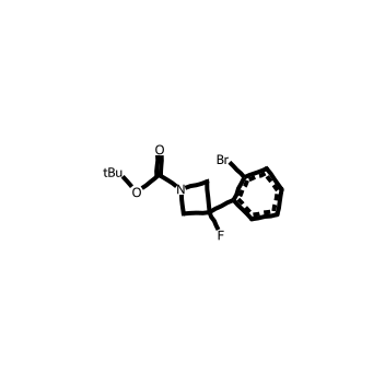 CC(C)(C)OC(=O)N1CC(F)(c2ccccc2Br)C1